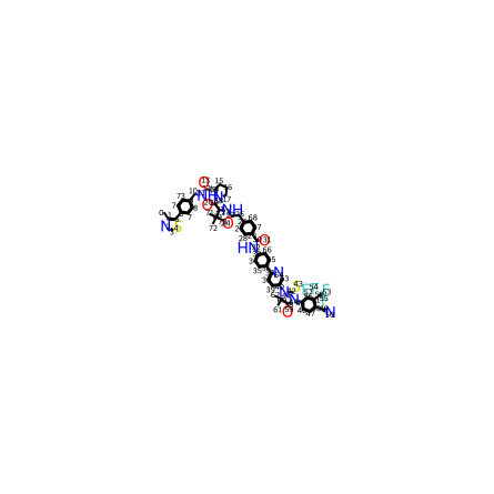 Cc1ncsc1-c1ccc(CNC(=O)[C@@H]2CCCN2C(=O)C(NC(=O)Cc2ccc(C(=O)Nc3ccc(-c4ccc(N5C(=S)N(c6ccc(C#N)c(C(F)(F)F)c6F)C(=O)C5(C)C)cn4)cc3)cc2)C(C)(C)C)cc1